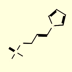 O=P(O)(O)OCC=Cn1cccc1